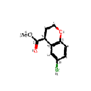 COC(=O)C1CCOc2ccc(Br)cc21